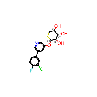 O[C@@H]1[C@@H](O)[C@H](Oc2cncc(-c3ccc(F)c(Cl)c3)c2)SC[C@H]1O